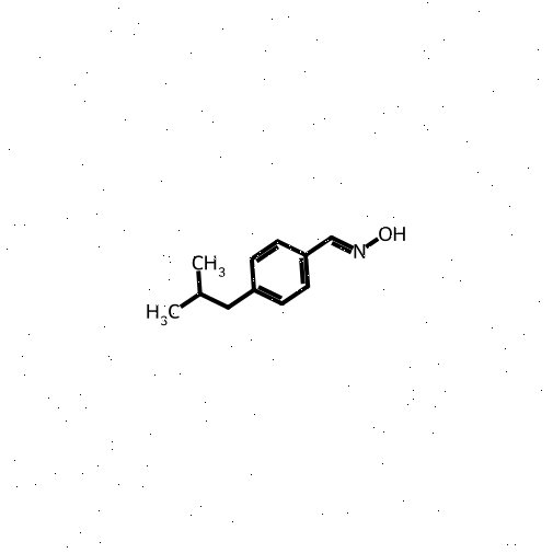 CC(C)Cc1ccc(C=NO)cc1